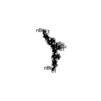 CCCCC(CC)Cc1cc2sc(-c3ncc(-c4cc5c(s4)-c4sc(-c6cnc(-c7cc8sc(CC(CC)CCCC)cc8s7)c7nsnc67)cc4[Si]5(CC(CC)CCCC)CC(CC)CCCC)c4nsnc34)cc2s1